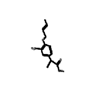 CC=CCOc1ccc(C(C)C(=O)OC)cc1[N+](=O)[O-]